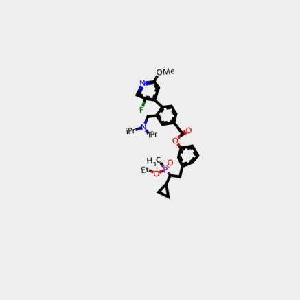 CCOP(C)(=O)C(Cc1cccc(OC(=O)c2ccc(-c3cc(OC)ncc3F)c(CN(C(C)C)C(C)C)c2)c1)C1CC1